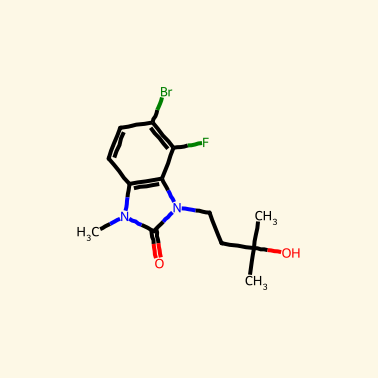 Cn1c(=O)n(CCC(C)(C)O)c2c(F)c(Br)ccc21